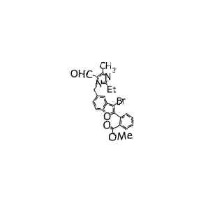 CCc1nc(C)c(C=O)n1Cc1ccc2oc(-c3ccccc3C(=O)OC)c(Br)c2c1